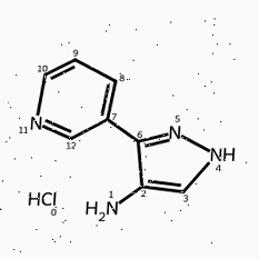 Cl.Nc1c[nH]nc1-c1cccnc1